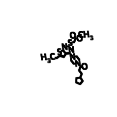 CCc1cc2c(N3CCN(C(=O)CCC4CCCC4)CC3)nc(SCC(=O)OC)nc2s1